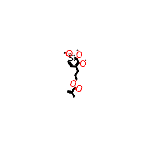 C=C(C)C(=O)OCCCc1cc[si](OC)c(OC)c1OC